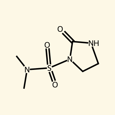 CN(C)S(=O)(=O)N1CCNC1=O